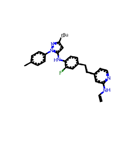 C=CNc1cc(CCc2ccc(Nc3cc(C(C)(C)C)nn3-c3ccc(C)cc3)c(F)c2)ccn1